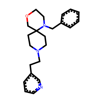 c1ccc(CN2CCOCC23CCN(CCc2cccnc2)CC3)cc1